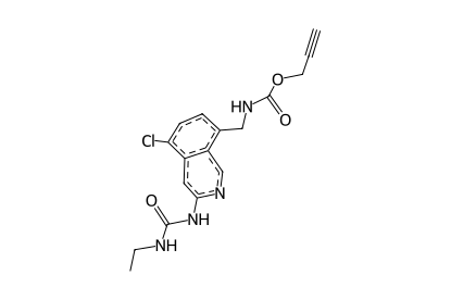 C#CCOC(=O)NCc1ccc(Cl)c2cc(NC(=O)NCC)ncc12